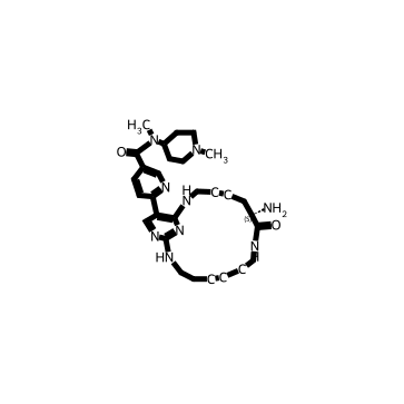 CN1CCC(N(C)C(=O)c2ccc(-c3cnc4nc3NCCCC[C@H](N)C(=O)NCCCCCCN4)nc2)CC1